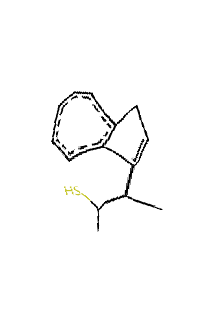 CC(S)C(C)C1=CCc2ccccc21